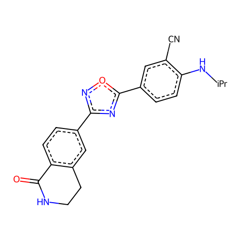 CC(C)Nc1ccc(-c2nc(-c3ccc4c(c3)CCNC4=O)no2)cc1C#N